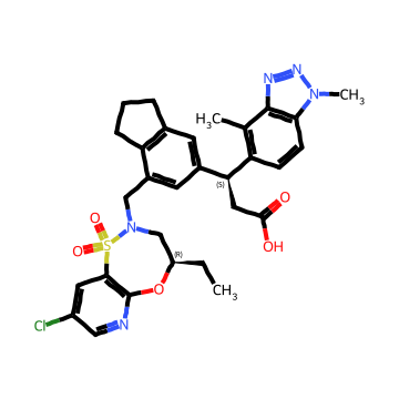 CC[C@@H]1CN(Cc2cc([C@H](CC(=O)O)c3ccc4c(nnn4C)c3C)cc3c2CCC3)S(=O)(=O)c2cc(Cl)cnc2O1